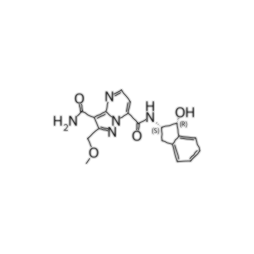 COCc1nn2c(C(=O)N[C@H]3Cc4ccccc4[C@H]3O)ccnc2c1C(N)=O